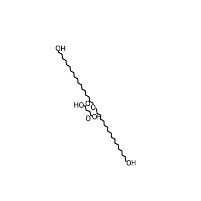 O=C(O)CCC(=O)O.OCCCCCCCCCCCCCCCCCCOCCCCCCCCCCCCCCCCCCO